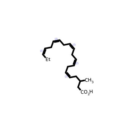 CC/C=C\C/C=C\C/C=C\C/C=C\C/C=C\CC(C)CC(=O)O